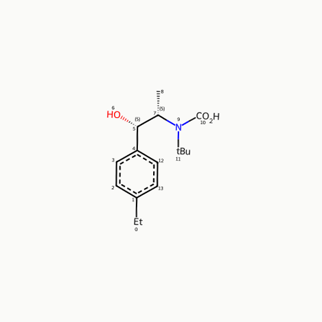 CCc1ccc([C@H](O)[C@H](C)N(C(=O)O)C(C)(C)C)cc1